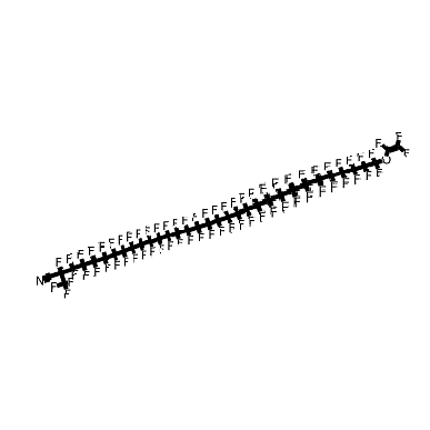 N#CC(F)(C(F)(F)F)C(F)(F)C(F)(F)C(F)(F)C(F)(F)C(F)(F)C(F)(F)C(F)(F)C(F)(F)C(F)(F)C(F)(F)C(F)(F)C(F)(F)C(F)(F)C(F)(F)C(F)(F)C(F)(F)C(F)(F)C(F)(F)C(F)(F)C(F)(F)C(F)(F)C(F)(F)C(F)(F)C(F)(F)C(F)(F)C(F)(F)C(F)(F)C(F)(F)C(F)(F)C(F)(F)OC(F)=C(F)F